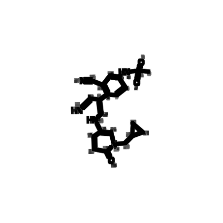 CS(=O)(=O)Nc1ccc(/C(C=N)=C/Nc2ccc(=O)n(CC3CC3)c2)c(C#N)c1